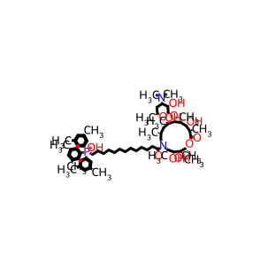 CC[C@H]1OC(=O)[C@H](C)[C@@H](O)[C@H](C)[C@@H](O[C@@H]2O[C@H](C)C[C@H](N(C)C)[C@H]2O)[C@](C)(O)C[C@@H](C)CN(C(=O)CCCCCCCCCCCCP(O)(c2cc(C)cc(C)c2)(c2cc(C)cc(C)c2)c2cc(C)cc(C)c2)[C@H](C)[C@@H](O)[C@]1(C)O